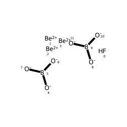 F.[Be+2].[Be+2].[Be+2].[O-]B([O-])[O-].[O-]B([O-])[O-]